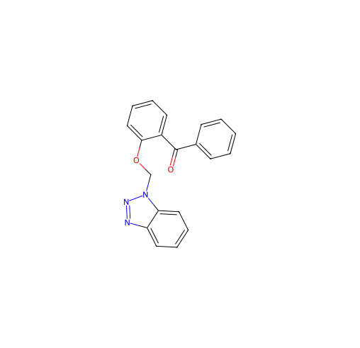 O=C(c1ccccc1)c1ccccc1OCn1nnc2ccccc21